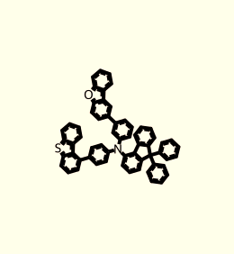 c1ccc(C2(c3ccccc3)c3ccccc3-c3c(N(c4ccc(-c5cccc6sc7ccccc7c56)cc4)c4cccc(-c5ccc6oc7ccccc7c6c5)c4)cccc32)cc1